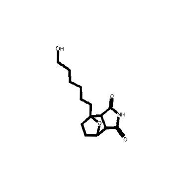 O=C1NC(=O)C2C1C1CCC2(CCCCCCO)O1